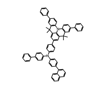 CC1(C)c2cc(-c3ccccc3)ccc2N2c3ccc(-c4ccccc4)cc3C(C)(C)c3cc(-c4ccc(N(c5ccc(-c6ccccc6)cc5)c5ccc(-c6cccc7ccccc67)cc5)cc4)cc1c32